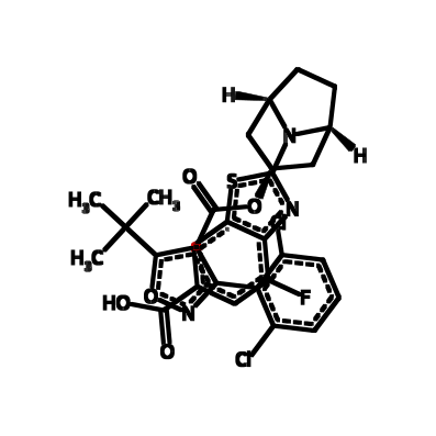 CC(C)(C)c1onc(-c2c(Cl)cccc2Cl)c1C(=O)O[C@@H]1C[C@H]2CC[C@@H](C1)N2c1nc2c(F)cc(C(=O)O)cc2s1